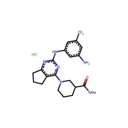 CNC(=O)C1CCCN(c2nc(Nc3cc(N)cc(C(F)(F)F)c3)nc3c2CCC3)C1.Cl